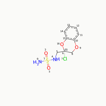 NS(=O)(=O)NC[C@]1(Cl)COc2ccccc2O1